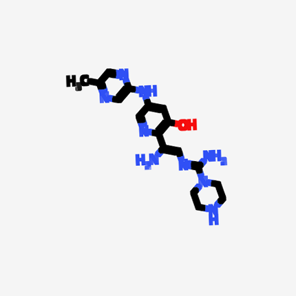 Cc1cnc(Nc2cnc(/C(N)=C/N=C(\N)N3CCNCC3)c(O)c2)cn1